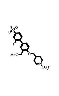 COCc1cc(-c2ccc(S(C)(=O)=O)cc2F)ccc1OCC1CCN(C(=O)O)CC1